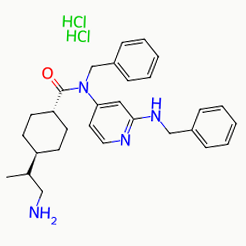 CC(CN)[C@H]1CC[C@H](C(=O)N(Cc2ccccc2)c2ccnc(NCc3ccccc3)c2)CC1.Cl.Cl